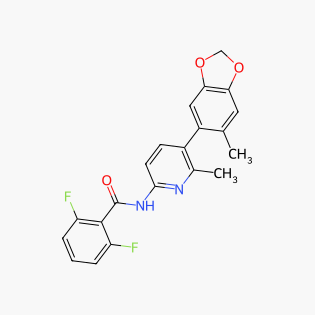 Cc1cc2c(cc1-c1ccc(NC(=O)c3c(F)cccc3F)nc1C)OCO2